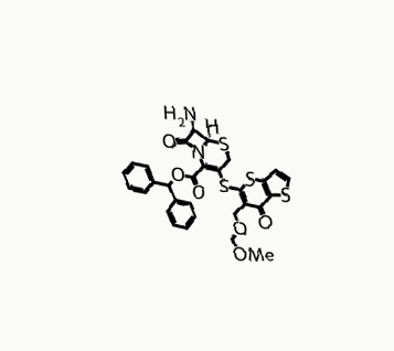 COCOCc1c(SC2=C(C(=O)OC(c3ccccc3)c3ccccc3)N3C(=O)[C@@H](N)[C@H]3SC2)sc2ccsc2c1=O